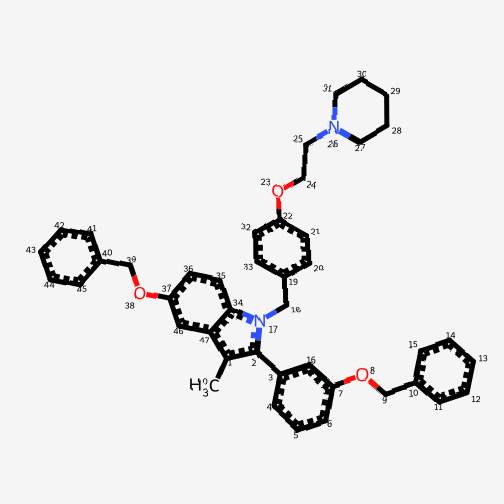 Cc1c(-c2cccc(OCc3ccccc3)c2)n(Cc2ccc(OCCN3CCCCC3)cc2)c2ccc(OCc3ccccc3)cc12